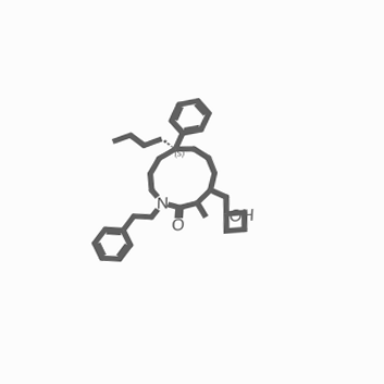 CCCC[C@]1(c2ccccc2)CCCC(CC2(O)CCC2)C(C)C(=O)N(CCc2ccccc2)CCC1